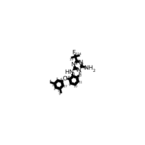 Cc1cc(C)cc(Oc2cccc(F)c2Nc2nc(N)nc(C(C)(C)F)n2)c1